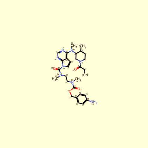 CC1CCN(C(=O)CC#N)CC1N(C)c1ncnc2c1ccn2C(=O)N(C)CCN(C)C(=O)OCc1ccc(N)cc1